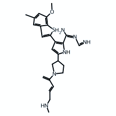 C=C(/C=C/CNC)N1CCC(c2cc(-c3cc4cc(C)cc(OC)c4s3)c(/C(N)=N\C=N)[nH]2)C1